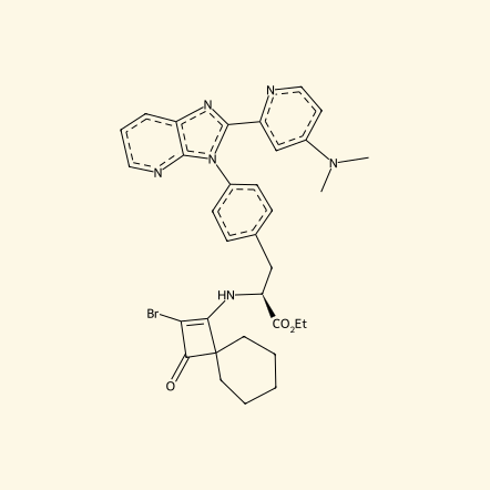 CCOC(=O)[C@H](Cc1ccc(-n2c(-c3cc(N(C)C)ccn3)nc3cccnc32)cc1)NC1=C(Br)C(=O)C12CCCCC2